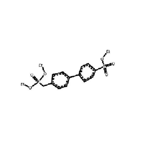 CCOP(=O)(Cc1ccc(-c2ccc(S(=O)(=O)OCC)cc2)cc1)OCC